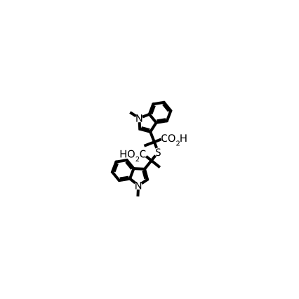 Cn1cc(C(C)(SC(C)(C(=O)O)c2cn(C)c3ccccc23)C(=O)O)c2ccccc21